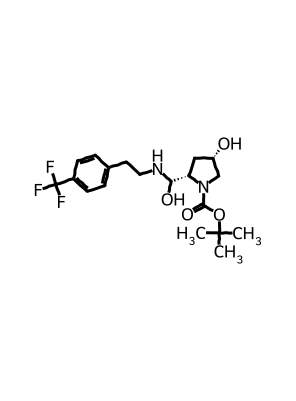 CC(C)(C)OC(=O)N1C[C@@H](O)C[C@H]1C(O)NCCc1ccc(C(F)(F)F)cc1